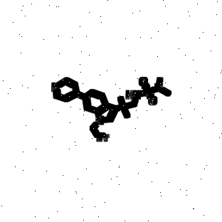 CC(C)Cn1cc(C(C)(C)CNS(=O)(=O)N(C)C)c2ccc(-c3ccncc3)cc21